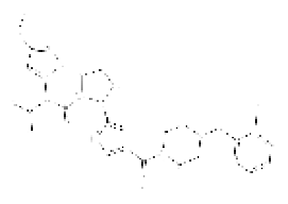 COc1cc(C(C(=O)N2C[C@H](O)C[C@H]2c2nc(C(=O)N3CCN(Cc4ccccc4F)CC3)c[nH]2)C(C)C)on1